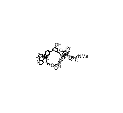 CCn1c(-c2cccnc2[C@H](C)OC)c2c3cc(ccc31)-c1cc(O)cc(c1)C[C@H](NC(=O)[C@H](C(C)C)N(C)C(=O)[C@H]1CCN(C(=O)CNC)C1)C(=O)N(C)N[C@@H](C)C(=O)OCC(C)(C)C2